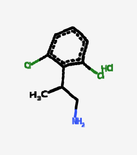 CC(CN)c1c(Cl)cccc1Cl.Cl